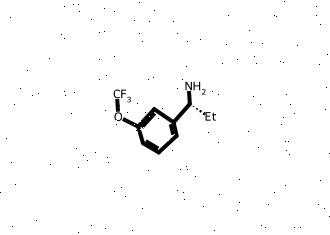 CC[C@@H](N)c1cccc(OC(F)(F)F)c1